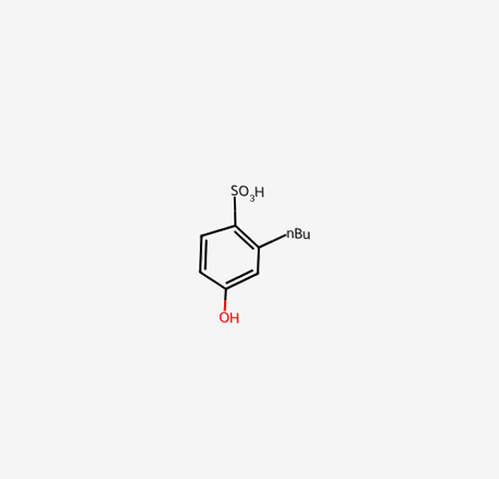 CCCCc1cc(O)ccc1S(=O)(=O)O